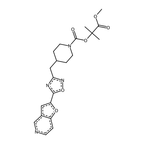 COC(=O)C(C)(C)OC(=O)N1CCC(Cc2noc(-c3cc4cnccc4o3)n2)CC1